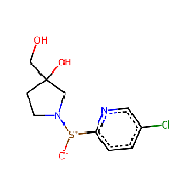 [O-][S+](c1ccc(Cl)cn1)N1CCC(O)(CO)C1